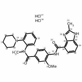 COc1cc(C(=O)N(C)c2ccccc2N2CCCCC2)ccc1NC(=O)c1cccc2[nH]c(C)nc12.Cl.Cl